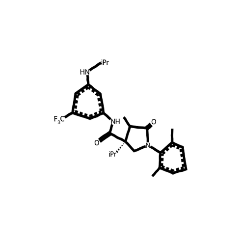 Cc1cccc(C)c1N1C[C@](C(=O)Nc2cc(NC(C)C)cc(C(F)(F)F)c2)(C(C)C)C(C)C1=O